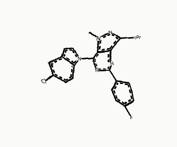 CCCc1nn(C)c2c(-n3ccc4cc(Cl)ccc43)nc(-c3ccc(F)cc3)nc12